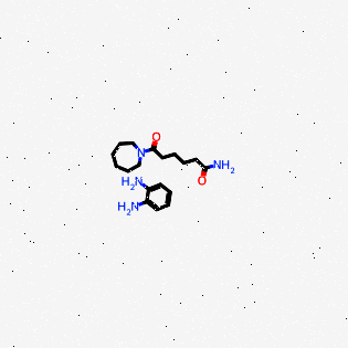 NC(=O)CCCCC(=O)N1CCCCCC1.Nc1ccccc1N